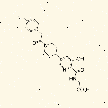 O=C(O)CNC(=O)c1ncc(C2CCN(C(=O)Cc3ccc(Cl)cc3)CC2)cc1O